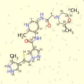 Cc1ncc(NC(=O)CN2C[C@H](C)O[C@@H](C)C2)cc1NC(=O)c1cnn2cc(-c3c[nH]nc3C)sc12